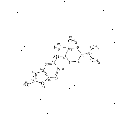 CN(C)[C@H]1CC[C@H](Nc2cc3cc(C#N)oc3cn2)C(C)(C)C1